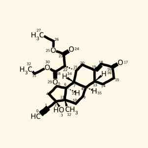 C#C[C@]1(O)CC[C@H]2[C@H]3[C@H](CC[C@@]21C)[C@H]1CCC(=O)C=C1C[C@H]3C(C(=O)OCC)C(=O)OCC